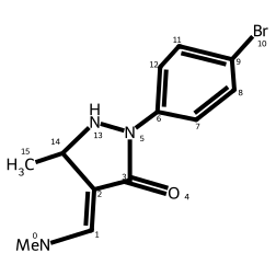 CNC=C1C(=O)N(c2ccc(Br)cc2)NC1C